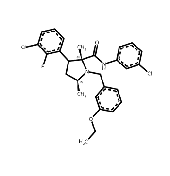 CCOc1cccc(CN2[C@@H](C)CC(c3cccc(Cl)c3F)[C@]2(C)C(=O)Nc2cccc(Cl)c2)c1